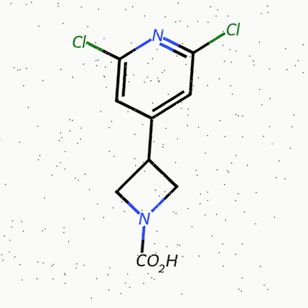 O=C(O)N1CC(c2cc(Cl)nc(Cl)c2)C1